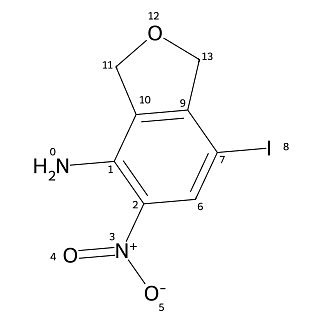 Nc1c([N+](=O)[O-])cc(I)c2c1COC2